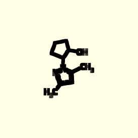 Cc1cc(C)n(C2CCCC2O)n1